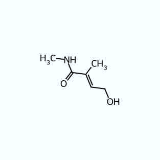 CNC(=O)/C(C)=C/CO